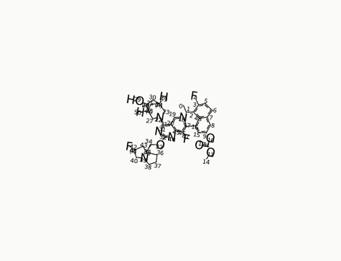 CCc1c(F)ccc2cc(OC(=O)OC)cc(-c3ncc4c(N5C[C@@H]6C[C@H](C5)[C@H](O)C6)nc(OC[C@@]56CCCN5C[C@H](F)C6)nc4c3F)c12